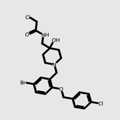 O=C(CCl)NCC1(O)CCN(Cc2cc(Br)ccc2OCc2ccc(Cl)cc2)CC1